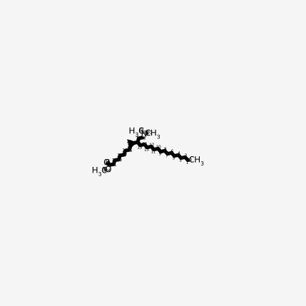 CCCCCCCCCCCCCCCCC(CCN(C)C)C1CC1CCCCCCCC(=O)OC